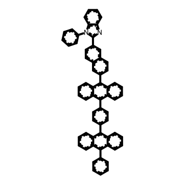 c1ccc(-c2c3ccccc3c(-c3ccc(-c4c5ccccc5c(-c5ccc6cc(-c7nc8ccccc8n7-c7ccccc7)ccc6c5)c5ccccc45)cc3)c3ccccc23)cc1